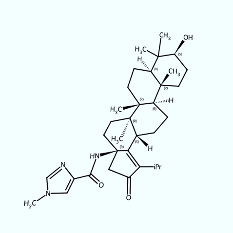 CC(C)C1=C2[C@H]3CC[C@@H]4[C@@]5(C)CC[C@H](O)C(C)(C)[C@@H]5CC[C@@]4(C)[C@]3(C)CC[C@@]2(NC(=O)c2cn(C)cn2)CC1=O